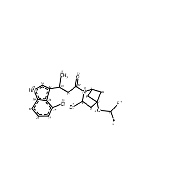 CCC1CC2(OC(F)F)CC(C2)N1C(=O)CC(C)c1c[nH]c2cccc(Cl)c12